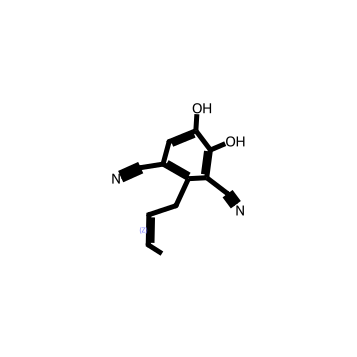 C/C=C\Cc1c(C#N)cc(O)c(O)c1C#N